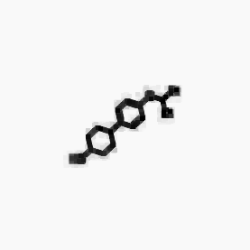 CCC(CC)Oc1ccc(C2CCC(O)CC2)cc1